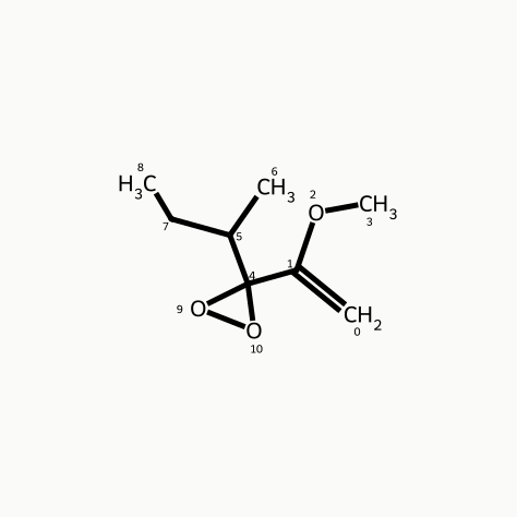 C=C(OC)C1(C(C)CC)OO1